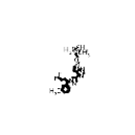 CC1=CC(C(CCC(F)F)N2CC(c3ncnc4c3ccn4COCC[Si](C)(C)C)C=N2)=CCC1